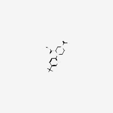 BC(=O)N1CCN(c2ccc(C(F)(F)F)cn2)[C@@H](C(=O)OC)C1